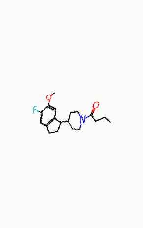 CCCC(=O)N1CCC(C2CCc3cc(F)c(OC)cc32)CC1